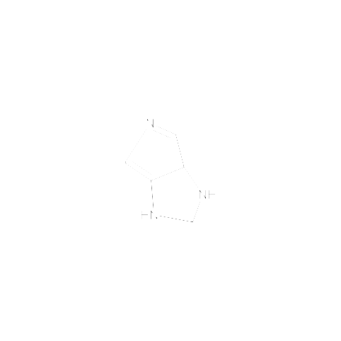 C1=NC=C2NCNC12